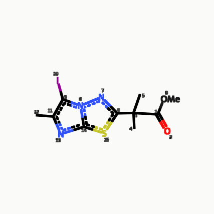 COC(=O)C(C)(C)c1nn2c(I)c(C)nc2s1